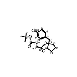 C[C@H](NC(=O)OC(C)(C)C)C(=O)OC1(Cc2ccc(Cl)cc2)CCCC1